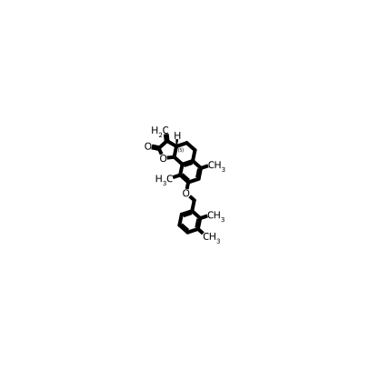 C=C1C(=O)OC2c3c(C)c(OCc4cccc(C)c4C)cc(C)c3CC[C@@H]12